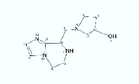 OC1CCN(CC2NCCn3ccnc32)C1